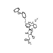 Cc1ccccc1-c1cc(CCc2cccc(Oc3ccccc3)c2)ccc1C(=O)NC(CC[S+](C)[O-])C(=O)[O-].[Li+]